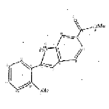 COC(=O)c1ccc2cc(-c3ccccc3OC)[nH]c2c1